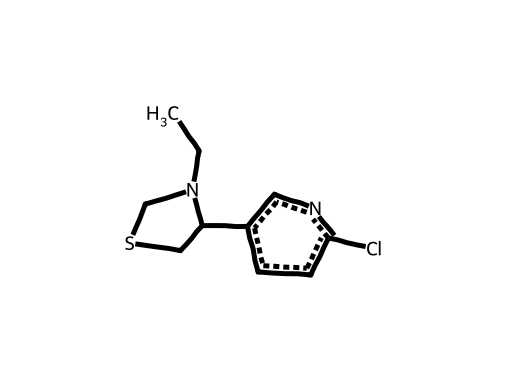 CCN1CSCC1c1ccc(Cl)nc1